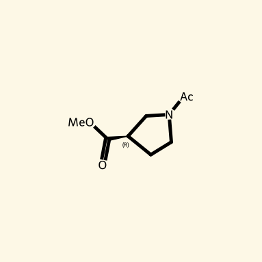 COC(=O)[C@@H]1CCN(C(C)=O)C1